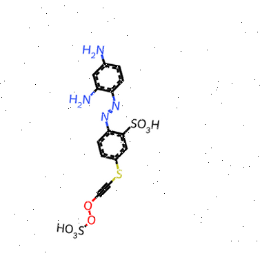 Nc1ccc(N=Nc2ccc(SC#COOS(=O)(=O)O)cc2S(=O)(=O)O)c(N)c1